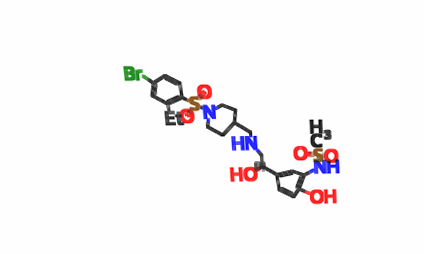 CCc1cc(Br)ccc1S(=O)(=O)N1CCC(CNC[C@H](O)c2ccc(O)c(NS(C)(=O)=O)c2)CC1